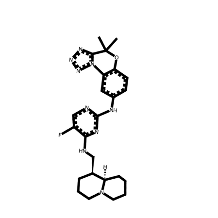 CC1(C)Oc2ccc(Nc3ncc(F)c(NC[C@@H]4CCCN5CCCC[C@H]45)n3)cc2-n2nnnc21